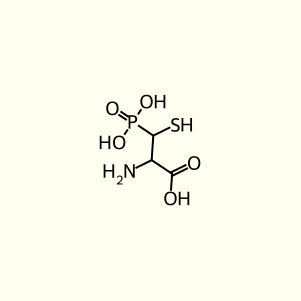 NC(C(=O)O)C(S)P(=O)(O)O